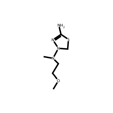 COCCN(C)N1CSC(N)=N1